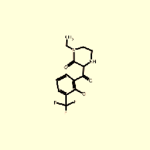 CCN1CCNC(C(=O)c2cccc(C(F)(F)F)c2Cl)C1=O